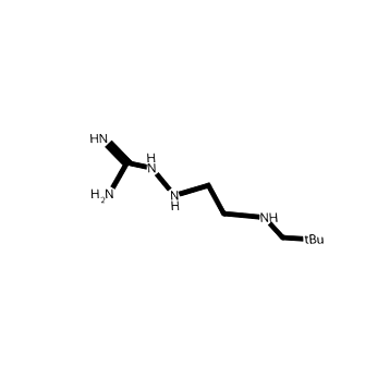 CC(C)(C)CNCCNNC(=N)N